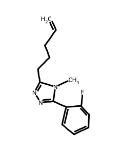 C=CCCCc1nnc(-c2ccccc2F)n1C